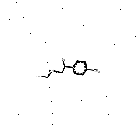 CCC(CNCC(C)(C)C)c1ccc(C)cc1